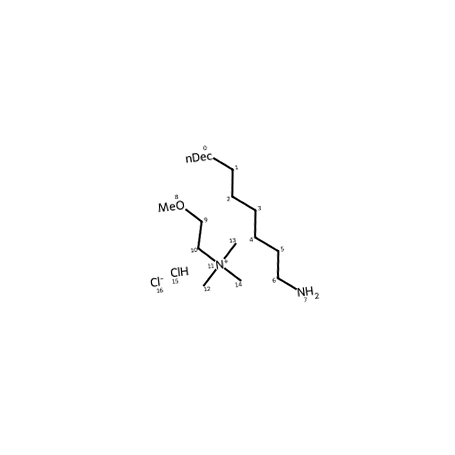 CCCCCCCCCCCCCCCCN.COCC[N+](C)(C)C.Cl.[Cl-]